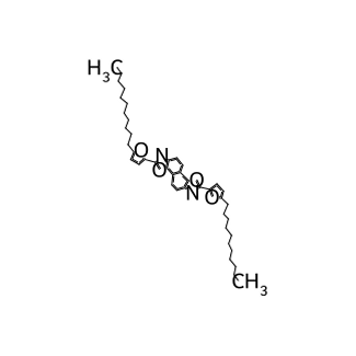 CCCCCCCCCCCc1ccc(-c2nc3ccc4c(ccc5nc(-c6ccc(CCCCCCCCCCC)o6)oc54)c3o2)o1